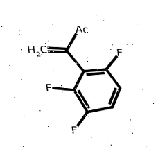 C=C(C(C)=O)c1c(F)ccc(F)c1F